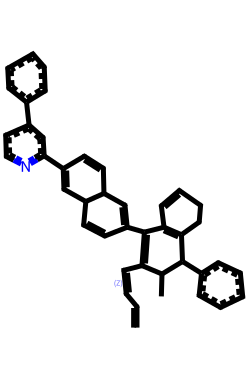 C=C/C=C\C1=C(C2=CC3C=CC(c4cc(-c5ccccc5)ccn4)=CC3C=C2)C2=C(CCC=C2)C(c2ccccc2)C1C